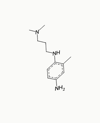 Cc1cc(N)ccc1NCCCN(C)C